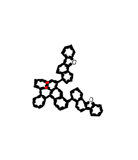 c1ccc(-c2ccccc2-c2c3cccc(-c4cccc5c4ccc4c6ccccc6oc54)c3cc3c(-c4cccc5c4ccc4c6ccccc6oc54)cccc23)cc1